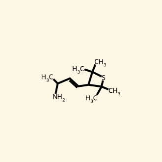 CC(N)C=CC1C(C)(C)SC1(C)C